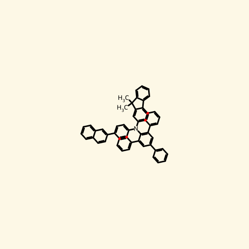 CC1(C)c2ccccc2-c2ccc(N(c3ccc(-c4ccc5ccccc5c4)cc3)c3c(-c4ccccc4)cc(-c4ccccc4)cc3-c3ccccc3)cc21